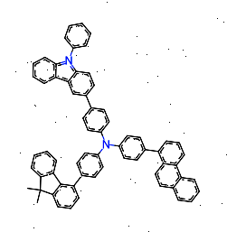 CC1(C)c2ccccc2-c2c(-c3ccc(N(c4ccc(-c5ccc6c(c5)c5ccccc5n6-c5ccccc5)cc4)c4ccc(-c5cccc6c5ccc5ccccc56)cc4)cc3)cccc21